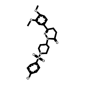 COc1ccc(C2=NN(C3CCN(S(=O)(=O)c4ccc(Cl)cc4)CC3)C(=O)CC2)cc1OC